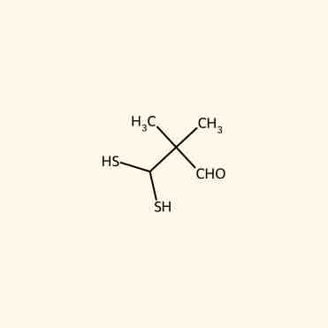 CC(C)(C=O)C(S)S